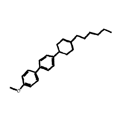 CCCCCCC1CCC(c2ccc(-c3ccc(OC)cc3)cc2)CC1